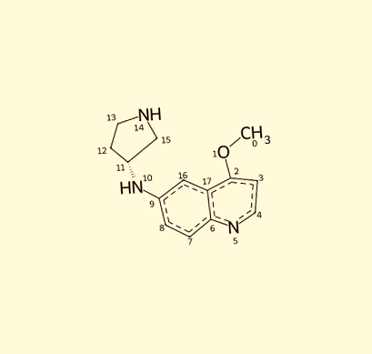 COc1ccnc2ccc(N[C@@H]3CCNC3)cc12